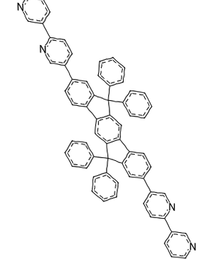 c1ccc(C2(c3ccccc3)c3cc(-c4ccc(-c5cccnc5)nc4)ccc3-c3cc4c(cc32)-c2ccc(-c3ccc(-c5cccnc5)nc3)cc2C4(c2ccccc2)c2ccccc2)cc1